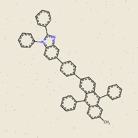 Cc1ccc2c(-c3ccccc3)c3cc(-c4ccc(-c5ccc6c(c5)nc(-c5ccccc5)n6-c5ccccc5)cc4)ccc3c(-c3ccccc3)c2c1